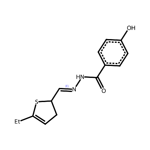 CCC1=CCC(/C=N/NC(=O)c2ccc(O)cc2)S1